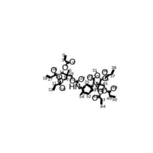 C=CC(=O)OCC(COC(=O)C=C)(COC(=O)C=C)COC(=O)Nc1cc(N(C(=O)OC)C(COC(=O)C=C)(COC(=O)C=C)COC(=O)C=C)ccc1C